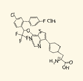 Cl.N[C@@H](CC1CC=C(c2csc3c(OC(c4ccc(Cl)cc4-c4ccc(F)cc4)C(F)(F)F)ncnc23)CC1)C(=O)O